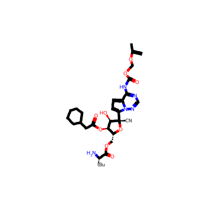 C=C(C)OCOC(=O)Nc1ncnn2c([C@]3(C#N)O[C@H](COC(=O)[C@@H](N)C(C)(C)C)[C@@H](OC(=O)CC4CCCCC4)[C@H]3O)ccc12